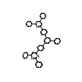 c1ccc(-c2cc(-c3ccc(-c4cc(-c5ccccc5)cc(-c5ccccc5)n4)cc3)cc(-c3ccc(-c4cc(-c5ccccc5)nc(-c5ccccc5)n4)cc3)c2)cc1